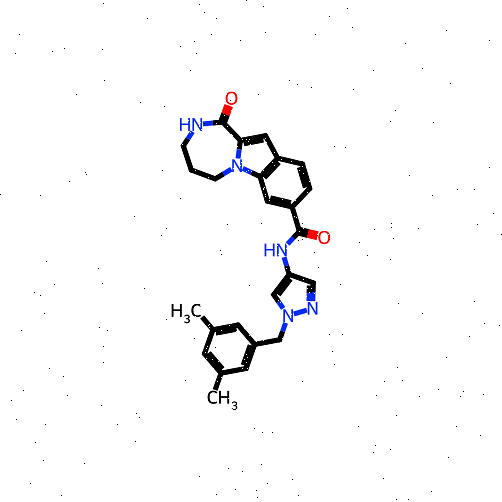 Cc1cc(C)cc(Cn2cc(NC(=O)c3ccc4cc5n(c4c3)CCCNC5=O)cn2)c1